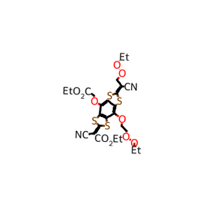 CCOOCCOc1c2c(c(OCC(=O)OCC)c3c1S/C(=C(/C#N)C(=O)OCC)S3)S/C(=C(/C#N)COOCC)S2